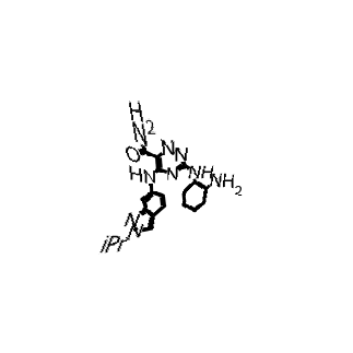 CC(C)n1cc2ccc(Nc3nc(N[C@@H]4CCCC[C@@H]4N)nnc3C(N)=O)cc2n1